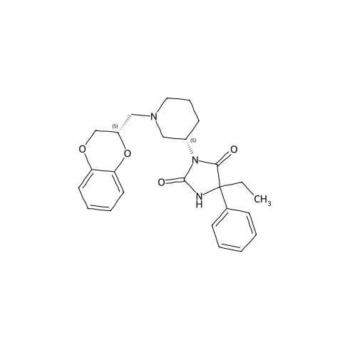 CCC1(c2ccccc2)NC(=O)N([C@H]2CCCN(C[C@H]3COc4ccccc4O3)C2)C1=O